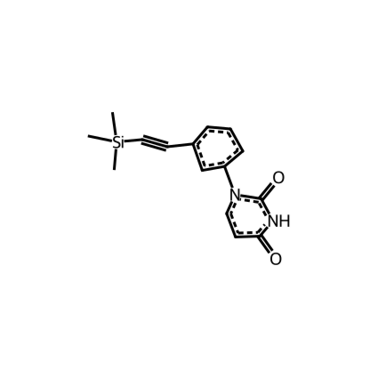 C[Si](C)(C)C#Cc1cccc(-n2ccc(=O)[nH]c2=O)c1